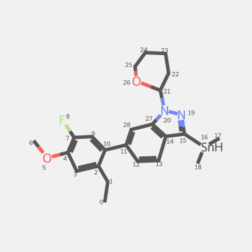 CCc1cc(OC)c(F)cc1-c1ccc2[c]([SnH]([CH3])[CH3])nn(C3CCCCO3)c2c1